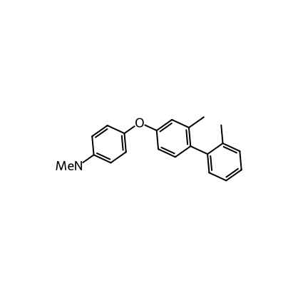 CNc1ccc(Oc2ccc(-c3ccccc3C)c(C)c2)cc1